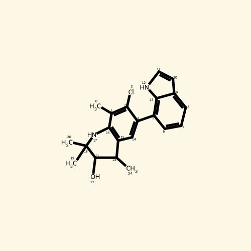 Cc1c(Cl)c(-c2cccc3cc[nH]c23)cc2c1NC(C)(C)C(O)C2C